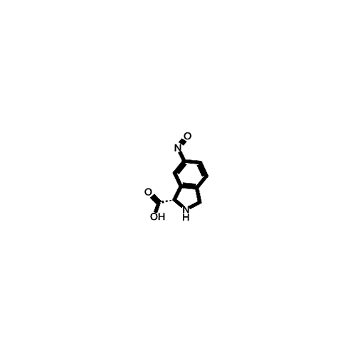 O=Nc1ccc2c(c1)[C@@H](C(=O)O)NC2